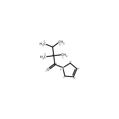 CC(C)C(C)(C)C(=O)N1CC=CC1